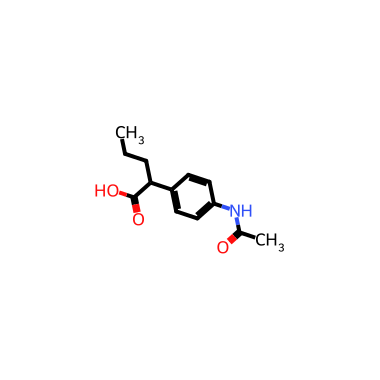 CCCC(C(=O)O)c1ccc(NC(C)=O)cc1